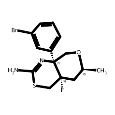 C[C@H]1C[C@@]2(F)CSC(N)=N[C@@]2(c2cccc(Br)c2)CO1